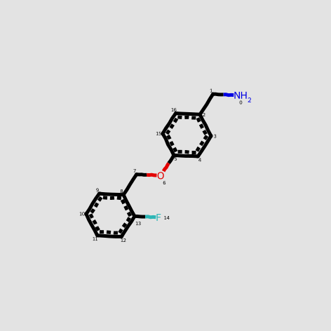 NCc1ccc(OCc2ccccc2F)cc1